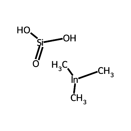 O=[Si](O)O.[CH3][In]([CH3])[CH3]